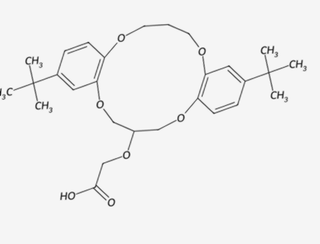 CC(C)(C)c1ccc2c(c1)OCCCOc1ccc(C(C)(C)C)cc1OCC(OCC(=O)O)CO2